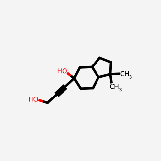 CC1(C)CCC2CC(O)(C#CCO)CCC21